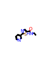 CCNC(=O)c1cnc(-c2cccnc2)s1